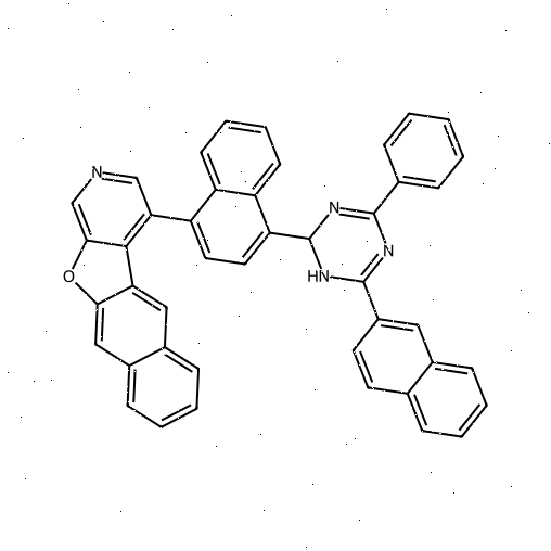 c1ccc(C2=NC(c3ccc(-c4cncc5oc6cc7ccccc7cc6c45)c4ccccc34)NC(c3ccc4ccccc4c3)=N2)cc1